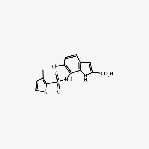 Cc1ccsc1S(=O)(=O)Nc1c(Cl)ccc2cc(C(=O)O)[nH]c12